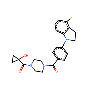 O=C(c1ccc(N2CCc3c(F)cccc32)cc1)N1CCN(C(=O)C2(O)CC2)CC1